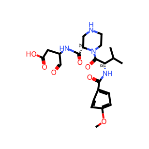 COc1ccc(C(=O)N[C@H](C(=O)N2CCNC[C@H]2C(=O)NC(C=O)CC(=O)O)C(C)C)cc1